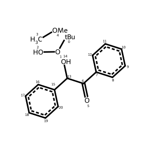 CC(C)(C)OO.COC.O=C(c1ccccc1)C(O)c1ccccc1